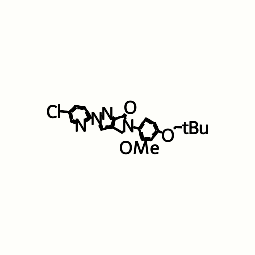 COc1cc(N2Cc3cn(-c4ccc(Cl)cn4)nc3C2=O)ccc1OCC(C)(C)C